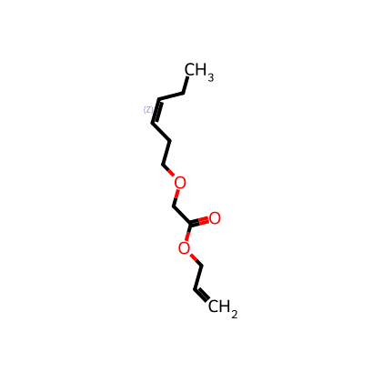 C=CCOC(=O)COCC/C=C\CC